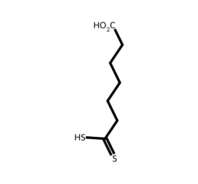 O=C(O)CCCCCC(=S)S